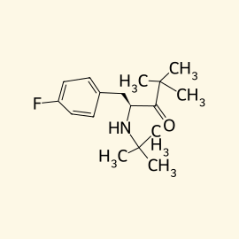 CC(C)(C)N[C@@H](Cc1ccc(F)cc1)C(=O)C(C)(C)C